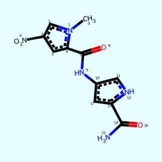 Cn1cc([N+](=O)[O-])cc1C(=O)Nc1c[nH]c(C(N)=O)c1